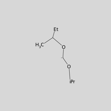 CCC(C)O[CH]OC(C)C